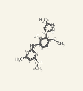 CNc1cc(C)nc(Nc2ccc(OC)c(-n3cc(C)nn3)c2F)n1